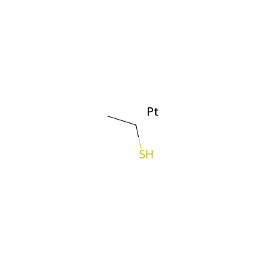 CCS.[Pt]